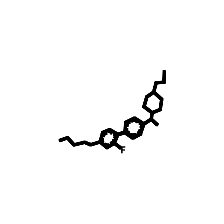 CCCCCc1ccc(-c2ccc(C(C)C3CCC(CCC)CC3)cc2)c(F)c1